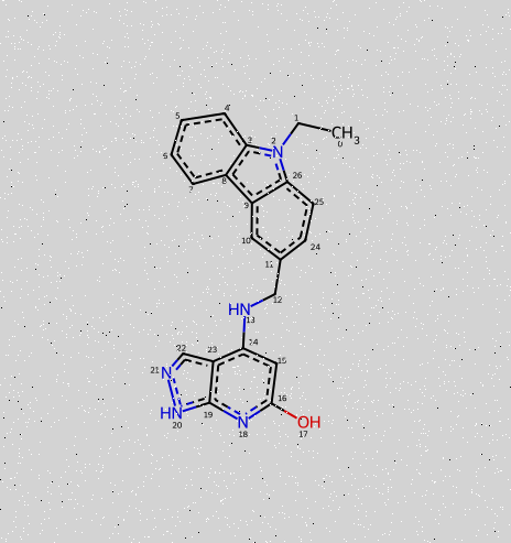 CCn1c2ccccc2c2cc(CNc3cc(O)nc4[nH]ncc34)ccc21